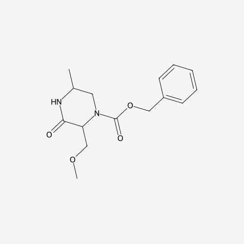 COCC1C(=O)NC(C)CN1C(=O)OCc1ccccc1